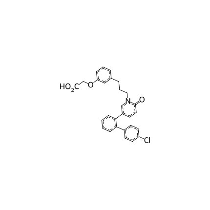 O=C(O)COc1cccc(CCCn2cc(-c3ccccc3-c3ccc(Cl)cc3)ccc2=O)c1